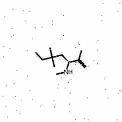 C=C(C)[C@H](CC(C)(C)CC)NC